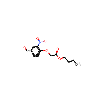 CCCCOC(=O)COc1ccc(C=O)cc1[N+](=O)[O-]